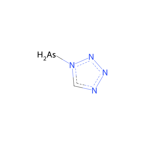 [AsH2]n1cnnn1